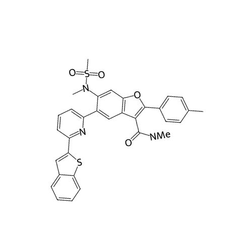 CNC(=O)c1c(-c2ccc(C)cc2)oc2cc(N(C)S(C)(=O)=O)c(-c3cccc(-c4cc5ccccc5s4)n3)cc12